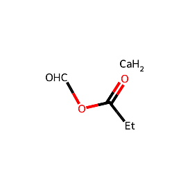 CCC(=O)OC=O.[CaH2]